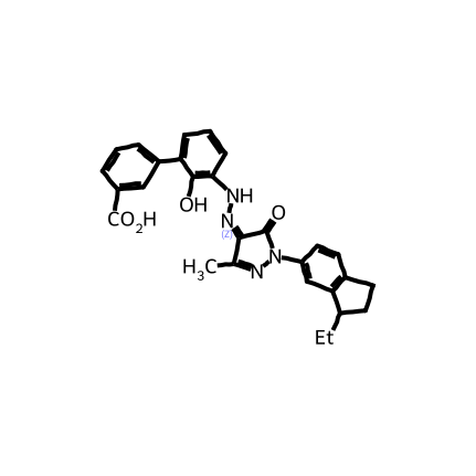 CCC1CCc2ccc(N3N=C(C)/C(=N/Nc4cccc(-c5cccc(C(=O)O)c5)c4O)C3=O)cc21